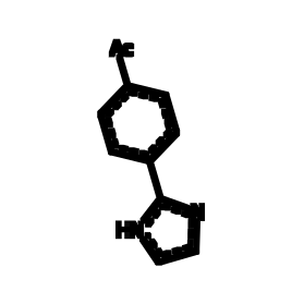 CC(=O)c1ccc(-c2ncc[nH]2)cc1